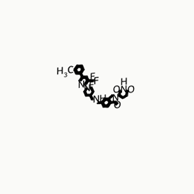 Cc1cccc(-c2cnc(N3CCC(CNCc4ccc5c(c4)CN([C@H]4CCC(=O)NC4=O)C5=O)CC3)c(C(F)(F)F)c2)c1